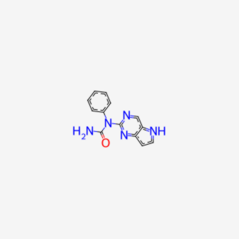 NC(=O)N(c1ccccc1)c1ncc2[nH]ccc2n1